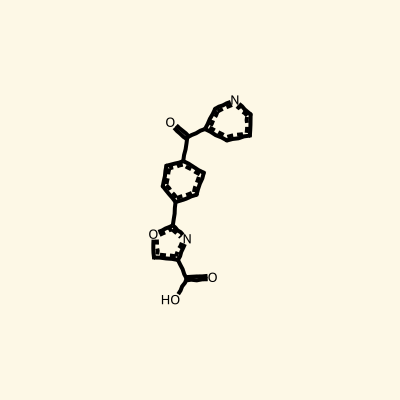 O=C(c1ccc(-c2nc(C(=O)O)co2)cc1)c1cccnc1